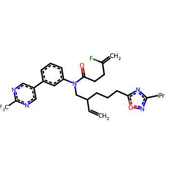 C=CC(CCCc1nc(C(C)C)no1)CN(C(=O)CCC(=C)F)c1cccc(-c2cnc(C(F)(F)F)nc2)c1